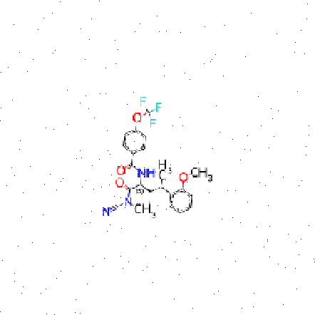 COc1ccccc1C(C)C[C@H](NC(=O)c1ccc(OC(F)(F)F)cc1)C(=O)N(C)C#N